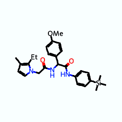 CCc1c(C)ccn1CC(=O)NC(C(=O)Nc1ccc([Si](C)(C)C)cc1)c1ccc(OC)cc1